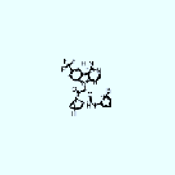 Nc1ncnc2c1c1cc(C(F)(F)F)ccc1n2CC(=O)N1C2C[C@@H]2C[C@H]1C(=O)Nc1cccc(Br)n1